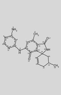 Cc1cc(Nc2cc(N)ncn2)c(=O)n2c1C(=O)NC21C=CCC(C)C1